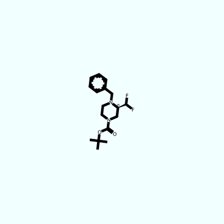 CC(C)(C)OC(=O)N1CCN(Cc2ccccc2)[C@@H](C(F)F)C1